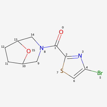 O=C(c1nc(Br)cs1)N1CC2CCC(C1)O2